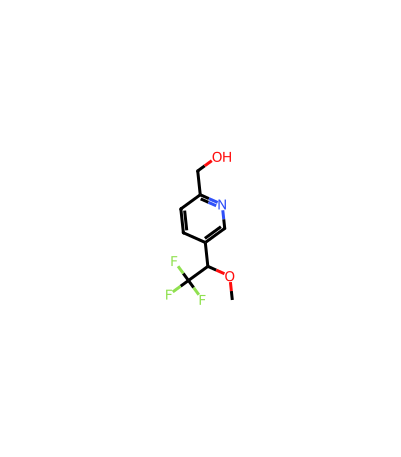 COC(c1ccc(CO)nc1)C(F)(F)F